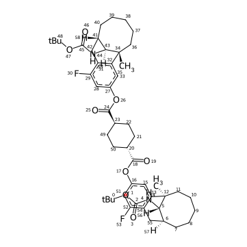 CC(C)(C)OC(=O)N[C@H]1[C@H]2CCCCC[C@]1(C)c1cc(OC(=O)[C@H]3CC[C@H](C(=O)Oc4cc(F)c5c(c4)[C@@]4(C)CCCCC[C@@H](C5)[C@@H]4NC(=O)OC(C)(C)C)CC3)cc(F)c1C2